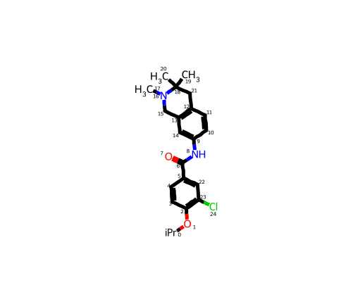 CC(C)Oc1ccc(C(=O)Nc2ccc3c(c2)CN(C)C(C)(C)C3)cc1Cl